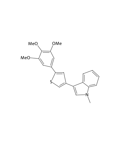 COc1cc(-c2cc(-c3cn(C)c4ccccc34)cs2)cc(OC)c1OC